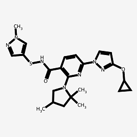 CC1CN(c2nc(-n3ccc(OC4CC4)n3)ccc2C(=O)NSc2cnn(C)c2)C(C)(C)C1